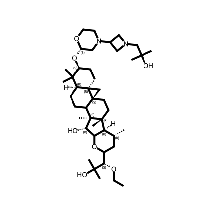 CCO[C@@H](C1C[C@@H](C)[C@H]2C(O1)[C@H](O)[C@@]1(C)C3CC[C@H]4C(C)(C)[C@@H](O[C@H]5CN(C6CN(CC(C)(C)O)C6)CCO5)CC[C@@]45C[C@@]35CC[C@]21C)C(C)(C)O